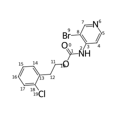 O=C(Nc1ccncc1Br)OCCc1ccccc1Cl